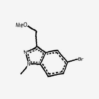 COCc1nn(C)c2ccc(Br)cc12